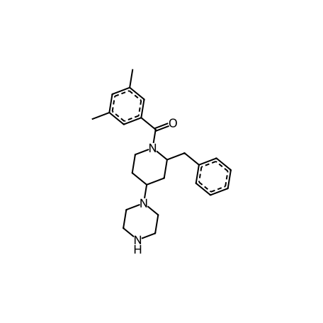 Cc1cc(C)cc(C(=O)N2CCC(N3CCNCC3)CC2Cc2ccccc2)c1